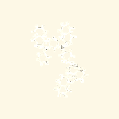 c1ccc(-n2c3cc4c(cc3c3c5ccccc5ccc32)c2c3ccccc3ccc2n4-c2ccc(-c3nc(-c4ccc5ccccc5c4)c4ccccc4n3)cc2)cc1